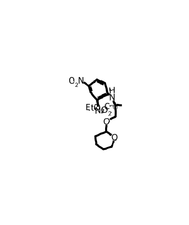 CCOC(=O)[C@](C)(COC1CCCCO1)Nc1ccc([N+](=O)[O-])cc1[N+](=O)[O-]